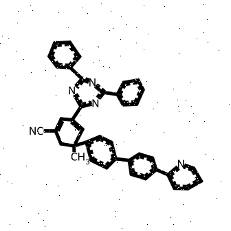 CC1(c2ccc(-c3ccc(-c4ccccn4)cc3)cc2)C=C(c2nc(-c3ccccc3)nc(-c3ccccc3)n2)C=C(C#N)C1